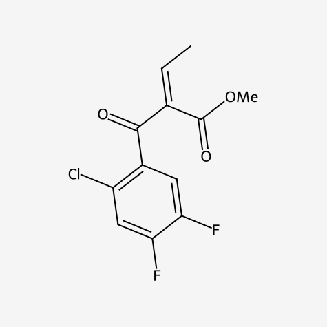 CC=C(C(=O)OC)C(=O)c1cc(F)c(F)cc1Cl